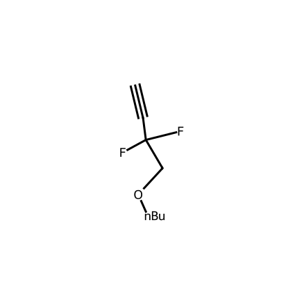 C#CC(F)(F)COCCCC